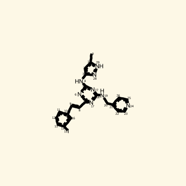 Cc1cc(Nc2nc(/C=C/c3cccc(I)c3)nc(NCc3ccncc3)n2)n[nH]1